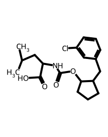 CC(C)CC(NC(=O)OC1CCCC1Cc1cccc(Cl)c1)C(=O)O